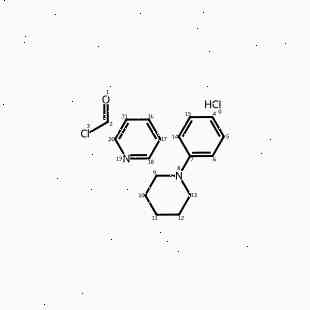 Cl.O=CCl.c1ccc(N2CCCCC2)cc1.c1ccncc1